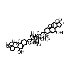 CC(C)(C[C@@]1(O)CC[C@@]2(C)C(=CC(O)C3C2CC[C@]2(C)C(=O)CCC32)C1)[Si](C)(C)O[Si](C)(C)C(C)(C)C[C@]1(O)CC[C@@]2(C)C(=CC(O)C3C2CC[C@]2(C)C(=O)CCC32)C1